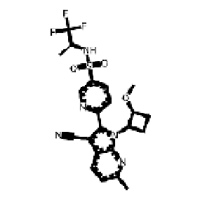 COC1CCC1n1c(-c2ccc(S(=O)(=O)N[C@@H](C)C(F)(F)F)cn2)c(C#N)c2ccc(C)nc21